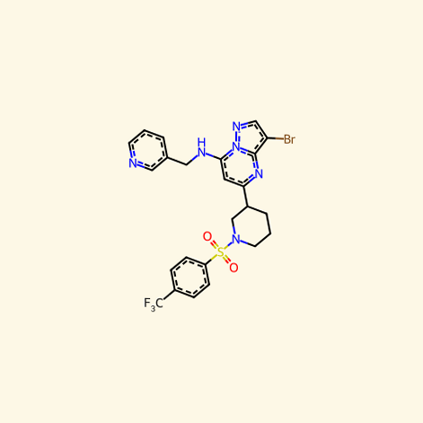 O=S(=O)(c1ccc(C(F)(F)F)cc1)N1CCCC(c2cc(NCc3cccnc3)n3ncc(Br)c3n2)C1